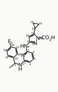 CC(Nc1cccc(Nc2cc(C3CC3)n(C(=O)O)n2)n1)c1ccc(F)cc1